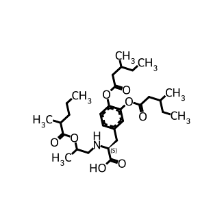 CCCC(C)C(=O)OC(C)CN[C@@H](Cc1ccc(OC(=O)CC(C)CC)c(OC(=O)CC(C)CC)c1)C(=O)O